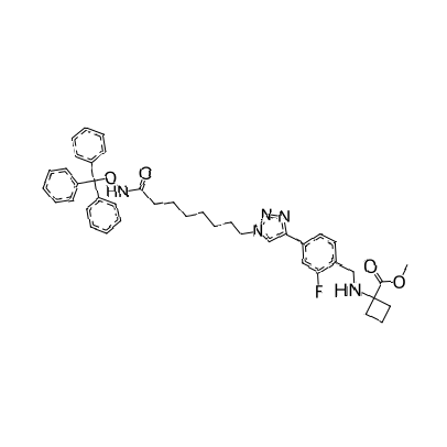 COC(=O)C1(NCc2ccc(-c3cn(CCCCCCCC(=O)NOC(c4ccccc4)(c4ccccc4)c4ccccc4)nn3)cc2F)CCC1